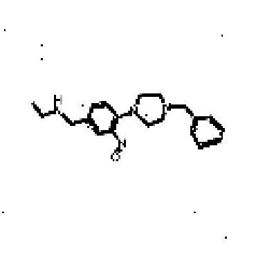 CCNCc1ccc(N2CCN(Cc3ccccc3)CC2)c(N=O)c1